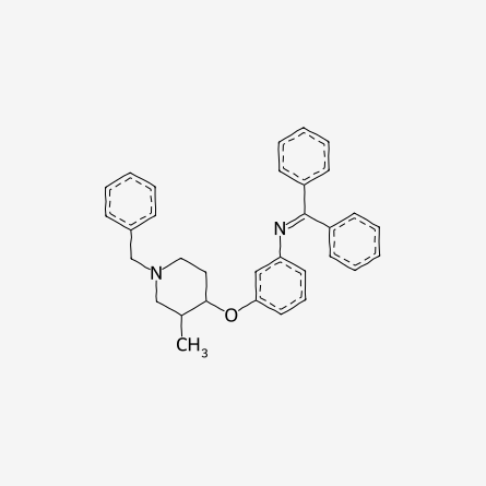 CC1CN(Cc2ccccc2)CCC1Oc1cccc(N=C(c2ccccc2)c2ccccc2)c1